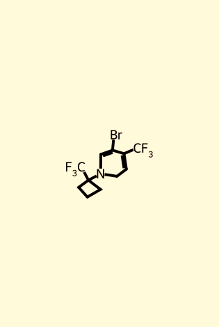 FC(F)(F)C1=CCN(C2(C(F)(F)F)CCC2)C=C1Br